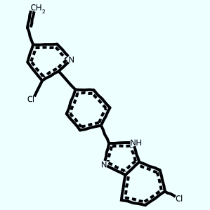 C=Cc1cnc(-c2ccc(-c3nc4ccc(Cl)cc4[nH]3)cc2)c(Cl)c1